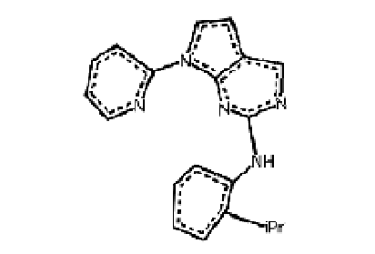 CC(C)c1ccccc1Nc1ncc2ccn(-c3ccccn3)c2n1